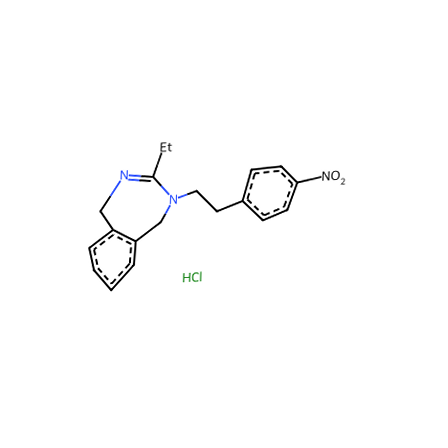 CCC1=NCc2ccccc2CN1CCc1ccc([N+](=O)[O-])cc1.Cl